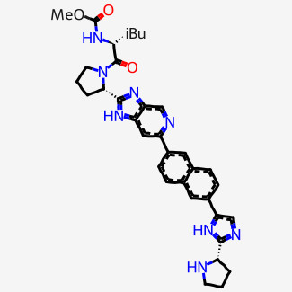 CC[C@@H](C)[C@H](NC(=O)OC)C(=O)N1CCC[C@H]1c1nc2cnc(-c3ccc4cc(-c5cnc([C@@H]6CCCN6)[nH]5)ccc4c3)cc2[nH]1